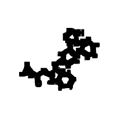 O=C(/N=c1\sc2ccccc2n1Cc1ccc(-c2ccccc2-c2nnn[nH]2)cc1)C1CC1